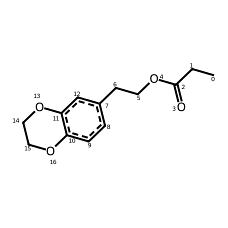 CCC(=O)OCCc1ccc2c(c1)OCCO2